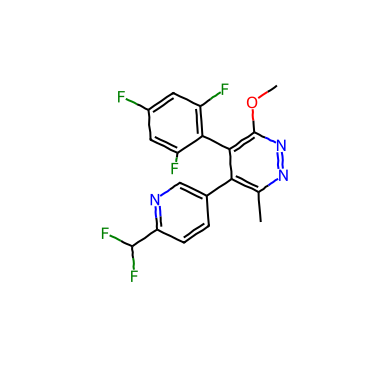 COc1nnc(C)c(-c2ccc(C(F)F)nc2)c1-c1c(F)cc(F)cc1F